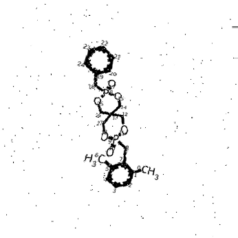 Cc1cccc(C)c1CP1(=O)OCC2(COP(=O)(Cc3ccccc3)OC2)CO1